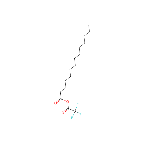 CCCCCCCCCCCCCC(=O)OC(=O)C(F)(F)F